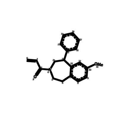 C=CC(=O)N1CCc2ccc(OC)cc2C(c2ccccc2)C1